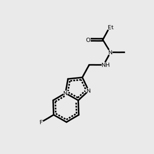 CCC(=O)N(C)NCc1cn2cc(F)ccc2n1